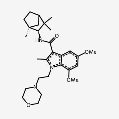 COc1cc(OC)c2c(c1)c(C(=O)N[C@@H]1C(C)(C)C3CC[C@@]1(C)C3)c(C)n2CCN1CCOCC1